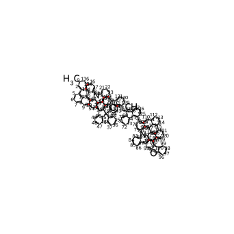 CC1C=C(c2cccc3cccc(-c4ccccc4N(c4ccccc4-c4ccc5c(c4)C(c4ccccc4)(c4ccccc4)c4ccccc4-5)c4ccccc4-c4ccc5c(c4)oc4c(CC6(C)c7ccccc7-c7c(-c8ccc(N(c9ccccc9-c9ccc%10c(c9)oc9ccccc9%10)c9ccccc9-c9cccc%10cccc(-c%11ccccc%11)c9%10)cc8)cccc76)cccc45)c23)C=CC1